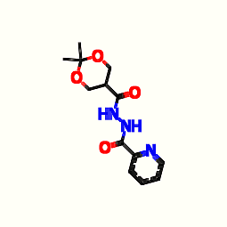 CC1(C)OCC(C(=O)NNC(=O)c2ccccn2)CO1